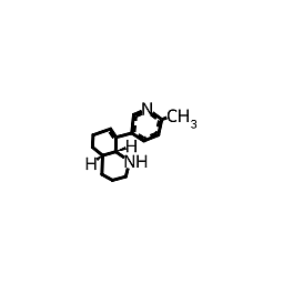 Cc1ccc(C2=CCC[C@H]3CCCN[C@@H]23)cn1